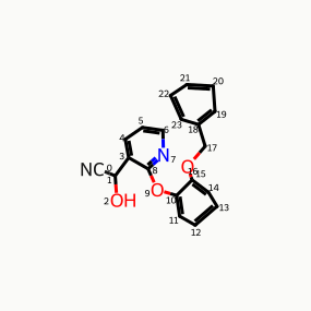 N#CC(O)c1cccnc1Oc1ccccc1OCc1ccccc1